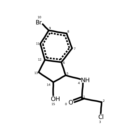 O=C(CCl)NC1c2ccc(Br)cc2CC1O